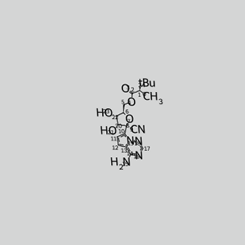 C[C@@H](C(=O)OC[C@H]1O[C@@](C#N)(c2ccc3c(N)ncnn23)[C@H](O)[C@@H]1O)C(C)(C)C